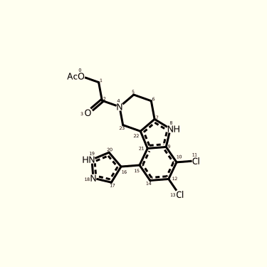 CC(=O)OCC(=O)N1CCc2[nH]c3c(Cl)c(Cl)cc(-c4cn[nH]c4)c3c2C1